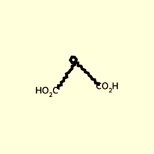 O=C(O)CCCCCCCCCCCCCC1(CCCCCCCCCCCCCC(=O)O)CCCCC1